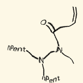 C=CC(=O)N(C)N(CCCCC)CCCCC